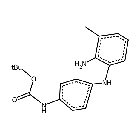 Cc1cccc(Nc2ccc(NC(=O)OC(C)(C)C)cc2)c1N